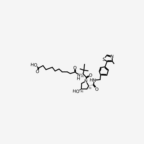 Cc1ncsc1-c1ccc(CNC(=O)[C@@H]2C[C@@H](O)CN2C(=O)[C@H](NC(=O)CCCCCCCCC(=O)O)C(C)(C)C)cc1